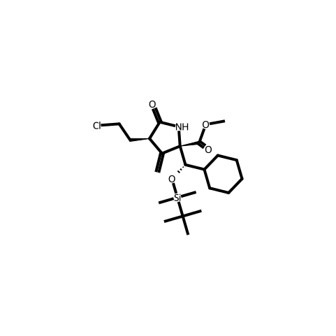 C=C1[C@@H](CCCl)C(=O)N[C@]1(C(=O)OC)[C@@H](O[Si](C)(C)C(C)(C)C)C1CCCCC1